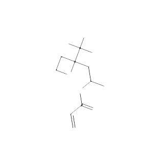 C=CC(=O)OC(C)CC1(C(F)(F)F)CCO1